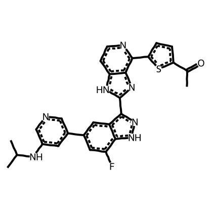 CC(=O)c1ccc(-c2nccc3[nH]c(-c4n[nH]c5c(F)cc(-c6cncc(NC(C)C)c6)cc45)nc23)s1